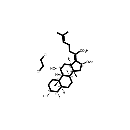 CC(=O)O[C@H]1C[C@@]2(C)[C@@H](C[C@@H](O)[C@H]3[C@@]4(C)CC[C@@H](O)[C@@H](C)[C@@H]4CC[C@@]32C)/C1=C(\CCC=C(C)C)C(=O)O.ClCCCl